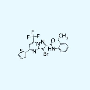 CCc1ccccc1NC(=O)c1nn2c(C(F)(F)F)cc(-c3cccs3)nc2c1Br